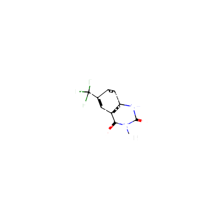 Cn1c(=O)[nH]c2ccc(C(F)(F)F)cc2c1=O